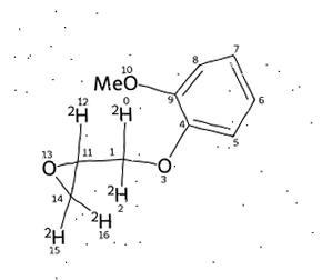 [2H]C([2H])(Oc1ccccc1OC)C1([2H])OC1([2H])[2H]